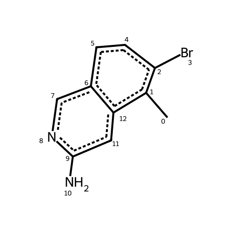 Cc1c(Br)ccc2cnc(N)cc12